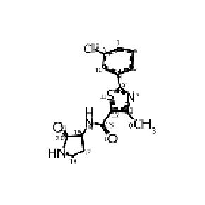 Cc1nc(-c2cccc(Cl)c2)sc1C(=O)NC1CCNC1=O